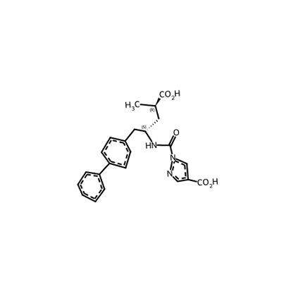 C[C@H](C[C@@H](Cc1ccc(-c2ccccc2)cc1)NC(=O)n1cc(C(=O)O)cn1)C(=O)O